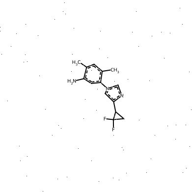 Cc1cc(C)c(-n2cnc(C3CC3(F)F)c2)cc1N